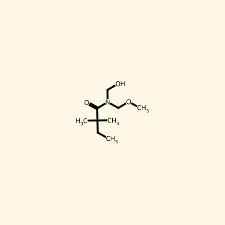 CCC(C)(C)C(=O)N(CO)COC